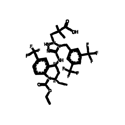 CCOC(=O)N1c2ccc(C(F)(F)F)cc2[C@@H](NC2=NNN(CC(C)(C)C(=O)O)N2Cc2cc(C(F)(F)F)cc(C(F)(F)F)c2)C[C@H]1CC